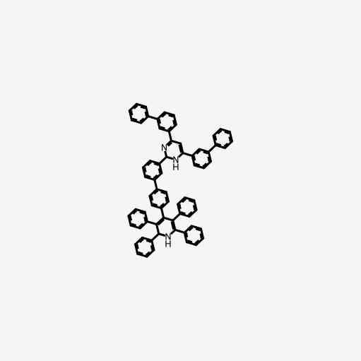 C1=C(c2cccc(-c3ccccc3)c2)NC(c2cccc(-c3ccc(C4=C(c5ccccc5)C(c5ccccc5)NC(c5ccccc5)=C4c4ccccc4)cc3)c2)N=C1c1cccc(-c2ccccc2)c1